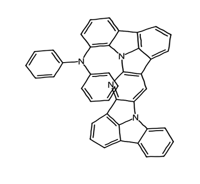 c1ccc(N(c2ccccc2)c2cccc3c4cccc5c6cc7c(nc6n(c23)c54)c2cccc3c4ccccc4n7c32)cc1